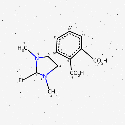 CCC1N(C)CCN1C.O=C(O)c1ccccc1C(=O)O